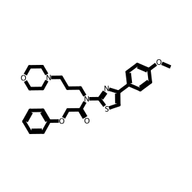 COc1ccc(-c2csc(N(CCCN3CCOCC3)C(=O)COc3ccccc3)n2)cc1